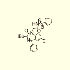 CCC(C)[C@@H]1N=C(c2ccccc2)c2cc(Cl)ccc2N(CC(=O)NS(=O)(=O)c2ccccc2)C1=O